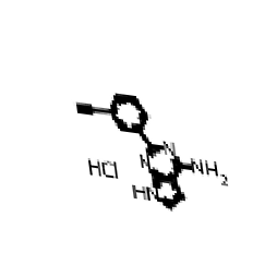 C#Cc1cccc(-c2nc(N)c3cc[nH]c3n2)c1.Cl